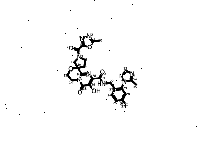 Cc1nnc(C(=O)N2CCC3(C2)OCCn2c3nc(C(=O)NCc3ccc(F)cc3-n3ncnc3C)c(O)c2=O)o1